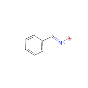 Br[N+]=Cc1ccccc1